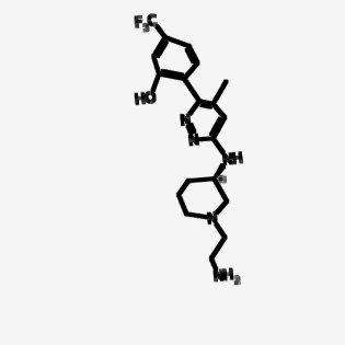 Cc1cc(N[C@@H]2CCCN(CCN)C2)nnc1-c1ccc(C(F)(F)F)cc1O